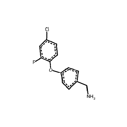 NCc1ccc(Oc2ccc(Cl)cc2F)cc1